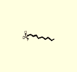 CCCCCCCCCS(=O)(=O)F